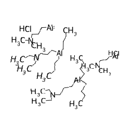 CCC[CH2][Al]([CH2]CCC)[CH2]CCCN(CC)CC.CCC[CH2][Al]([CH2]CCC)[CH2]CCN(CC)CC.CN(C)CC[CH2][Al].CN(C)CC[CH2][Al].Cl.Cl